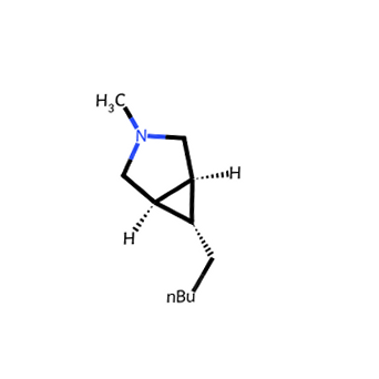 CCCCC[C@@H]1[C@H]2CN(C)C[C@@H]12